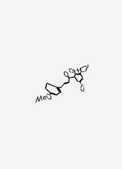 COc1ccc(/C=C/C(=O)c2cc(Cl)cc(Cl)c2O)cc1